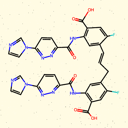 O=C(Nc1cc(/C=C/Cc2cc(NC(=O)c3ccc(-n4ccnc4)nn3)c(C(=O)O)cc2F)c(F)cc1C(=O)O)c1ccc(-n2ccnc2)nn1